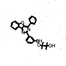 CC(C)(O)C(C)(C)OBc1cccc(-c2nc(-c3ccccc3)c3oc4ccccc4c3n2)c1